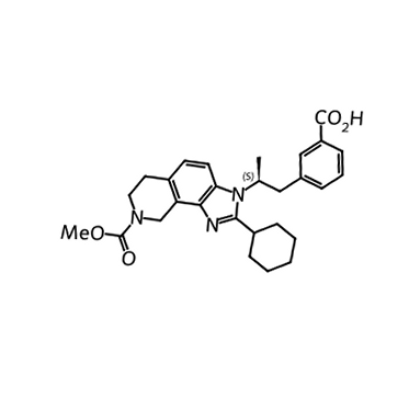 COC(=O)N1CCc2ccc3c(nc(C4CCCCC4)n3[C@@H](C)Cc3cccc(C(=O)O)c3)c2C1